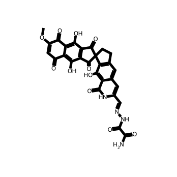 COC1=CC(=O)c2c(O)c3c(c(O)c2C1=O)C(=O)C1(CCc2cc4cc(/C=N/NC(=O)C(N)=O)[nH]c(=O)c4c(O)c21)C3=O